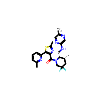 Cc1cccc(-c2sc(C)nc2C(=O)N2CC(F)(F)C[C@@H](C)[C@H]2CNc2cnc(C(F)(F)F)cn2)n1